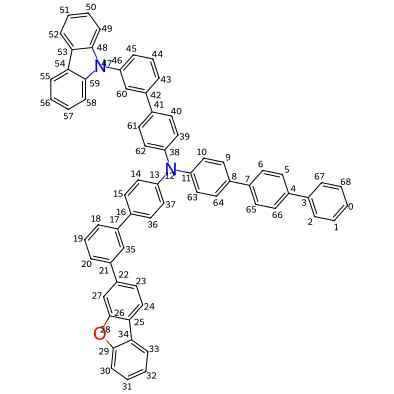 c1ccc(-c2ccc(-c3ccc(N(c4ccc(-c5cccc(-c6ccc7c(c6)oc6ccccc67)c5)cc4)c4ccc(-c5cccc(-n6c7ccccc7c7ccccc76)c5)cc4)cc3)cc2)cc1